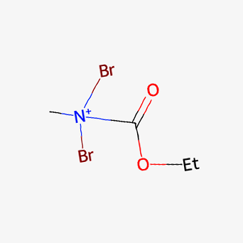 CCOC(=O)[N+](C)(Br)Br